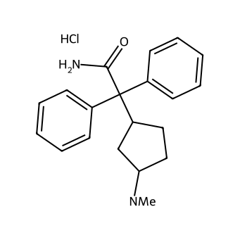 CNC1CCC(C(C(N)=O)(c2ccccc2)c2ccccc2)C1.Cl